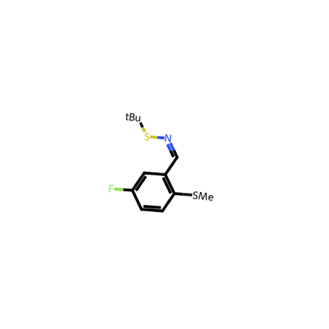 CSc1ccc(F)cc1/C=N\SC(C)(C)C